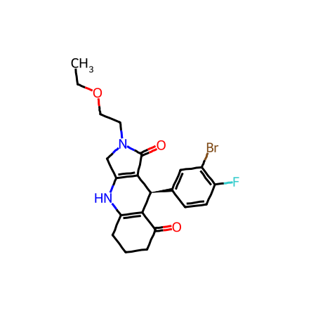 CCOCCN1CC2=C(C1=O)[C@@H](c1ccc(F)c(Br)c1)C1=C(CCCC1=O)N2